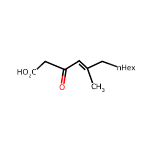 CCCCCCC/C(C)=C/C(=O)CC(=O)O